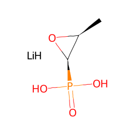 C[C@@H]1O[C@@H]1P(=O)(O)O.[LiH]